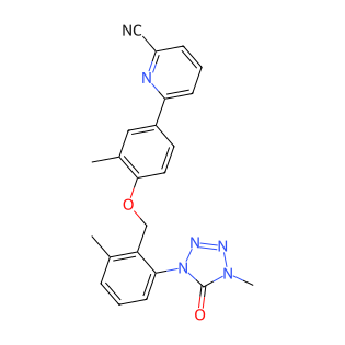 Cc1cc(-c2cccc(C#N)n2)ccc1OCc1c(C)cccc1-n1nnn(C)c1=O